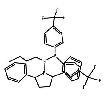 CCCCN(P(c1ccc(C(F)(F)F)cc1)c1ccc(C(F)(F)F)cc1)P1C(c2ccccc2)CCC1c1ccccc1